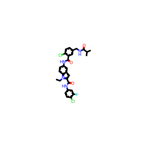 CCn1c(C(=O)Nc2ccc(Cl)c(F)c2)cc2cc(NC(=O)c3cc(CNC(=O)C(C)C)ccc3Cl)ccc21